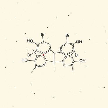 Cc1cc(C(C)(c2cc(C)c(O)c(C)c2)C(c2cc(Br)c(O)c(Br)c2)c2cc(Br)c(O)c(Br)c2)cc(C)c1O